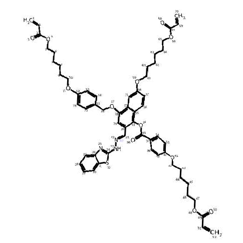 C=CC(=O)OCCCCCCOc1ccc(COc2cc(/C=N/Nc3nc4ccccc4s3)c(OC(=O)c3ccc(OCCCCCCOC(=O)C=C)cc3)c3ccc(OCCCCCCOC(=O)C=C)cc23)cc1